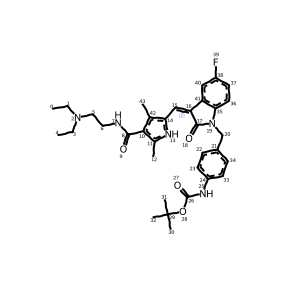 CCN(CC)CCNC(=O)c1c(C)[nH]c(/C=C2\C(=O)N(Cc3ccc(NC(=O)OC(C)(C)C)cc3)c3ccc(F)cc32)c1C